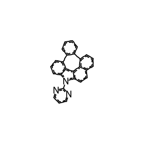 c1cnc(-n2c3cccc4c3c3c5c(cccc5ccc32)-c2ccccc2-4)nc1